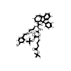 CC(C)(C)OC(=O)CCC[C@H](OC(=O)N[C@@H](CCCNCc1ccc(Br)cc1)C(=O)OC(c1ccccc1)(c1ccccc1Cl)C1CCCCCC1)C(=O)OC(C)(C)C